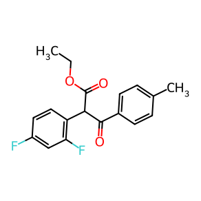 CCOC(=O)C(C(=O)c1ccc(C)cc1)c1ccc(F)cc1F